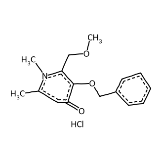 COCc1c(OCc2ccccc2)c(=O)cc(C)n1C.Cl